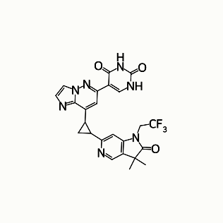 CC1(C)C(=O)N(CC(F)(F)F)c2cc(C3CC3c3cc(-c4c[nH]c(=O)[nH]c4=O)nn4ccnc34)ncc21